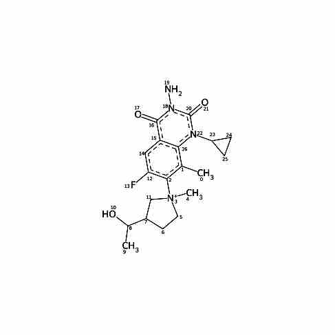 Cc1c([N+]2(C)CCC(C(C)O)C2)c(F)cc2c(=O)n(N)c(=O)n(C3CC3)c12